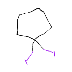 IC1(I)CCCC1